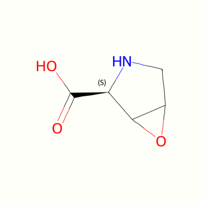 O=C(O)[C@H]1NCC2OC21